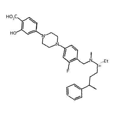 CC[C@H](CCC(C)c1ccccc1)N(C)Cc1ccc(N2CCN(c3ccc(C(=O)O)c(O)c3)CC2)cc1F